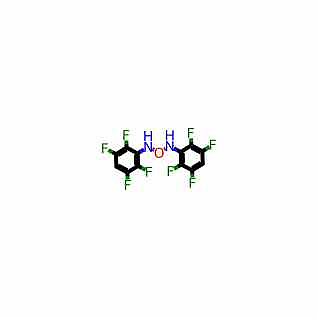 Fc1cc(F)c(F)c(NONc2c(F)c(F)cc(F)c2F)c1F